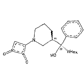 CCCCCC[C@@](O)(c1ccccc1)[C@@H]1CCCN(c2cc(=O)c2=O)C1